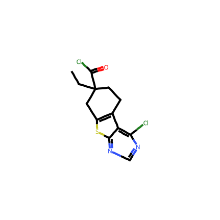 CCC1(C(=O)Cl)CCc2c(sc3ncnc(Cl)c23)C1